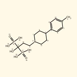 Cc1ccc(C2CCN(CCC(O)(P(=O)(O)O)P(=O)(O)O)CC2)cc1